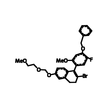 COCCOCOc1ccc2c(c1)CCC(Br)=C2c1cc(F)c(OCc2ccccc2)cc1OC